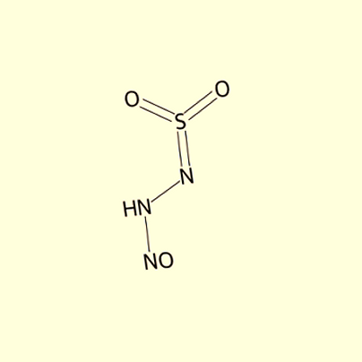 O=NNN=S(=O)=O